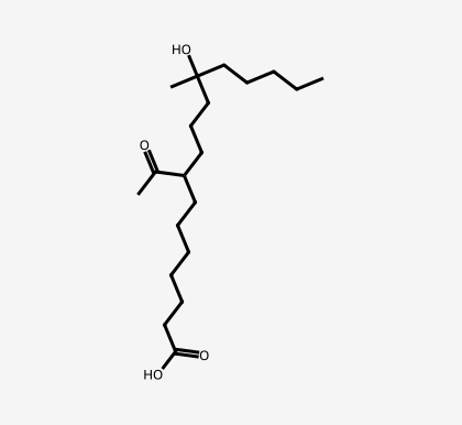 CCCCCC(C)(O)CCCC(CCCCCCC(=O)O)C(C)=O